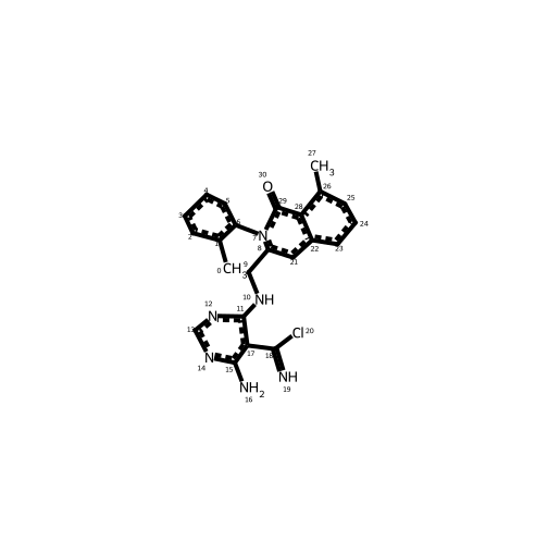 Cc1ccccc1-n1c(CNc2ncnc(N)c2C(=N)Cl)cc2cccc(C)c2c1=O